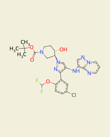 CC(C)(C)OC(=O)N1CC[C@H](O)[C@@H](n2cc(Nc3cnn4cccnc34)c(-c3cc(Cl)ccc3OC(F)F)n2)C1